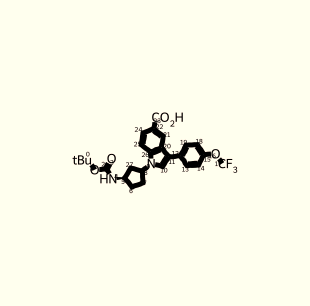 CC(C)(C)OC(=O)N[C@@H]1CCC(n2cc(-c3ccc(OC(F)(F)F)cc3)c3cc(C(=O)O)ccc32)C1